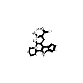 CCC1C(CC(=NO)C(=O)OC)c2c([nH]c3ccccc23)C2CCCCN21